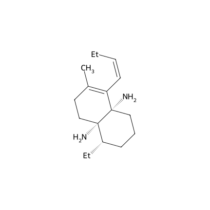 CC/C=C\C1=C(C)CC[C@]2(N)[C@@H](CC)CCC[C@]12N